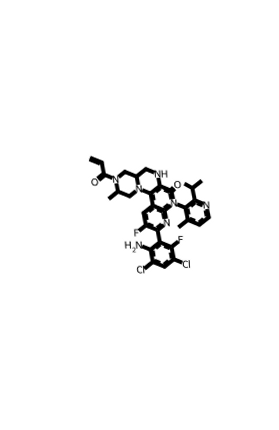 C=CC(=O)N1CC2CNc3c(c4cc(F)c(-c5c(N)c(Cl)cc(Cl)c5F)nc4n(-c4c(C)ccnc4C(C)C)c3=O)N2CC1C